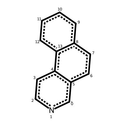 [c]1nccc2c1ccc1ccccc12